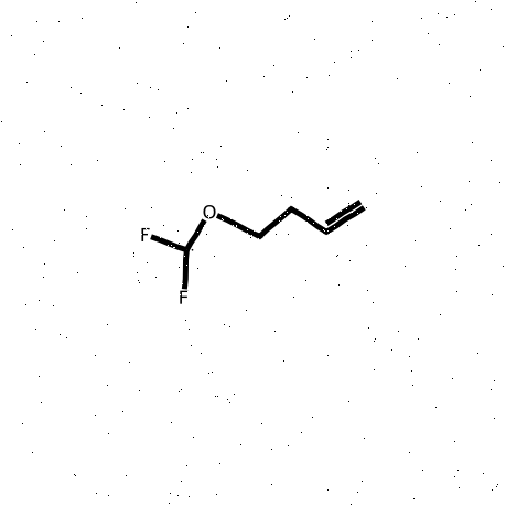 C=CCCO[C](F)F